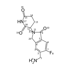 NCc1cc2c(cc1F)C(=O)[15N](C1CCC(=O)NC1=O)C2